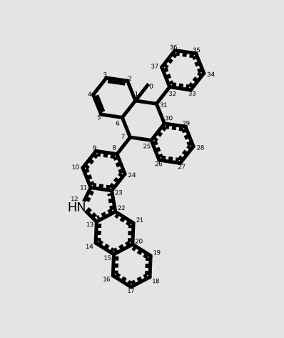 CC12C=CC=CC1C(c1ccc3[nH]c4cc5ccccc5cc4c3c1)c1ccccc1C2c1ccccc1